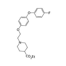 CCOC(=O)C1CCN(CCOc2ccc(Oc3ccc(F)cc3)cc2)CC1